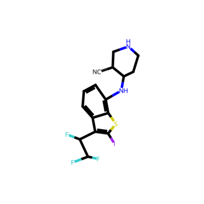 N#CC1CNCCC1Nc1cccc2c(C(F)C(F)F)c(I)sc12